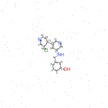 Oc1cccc(CNc2cncc(-c3ccncc3Cl)c2)c1